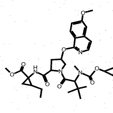 CCC1CC1(NC(=O)C1CC(Oc2nccc3cc(OC)ccc23)CN1C(=O)C(N(C)C(=O)OC1CC1)C(C)(C)C)C(=O)OC